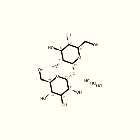 Cl.Cl.Cl.OC[C@H]1O[C@H](O[C@H]2O[C@H](CO)[C@@H](O)[C@H](O)[C@H]2O)[C@H](O)[C@@H](O)[C@@H]1O